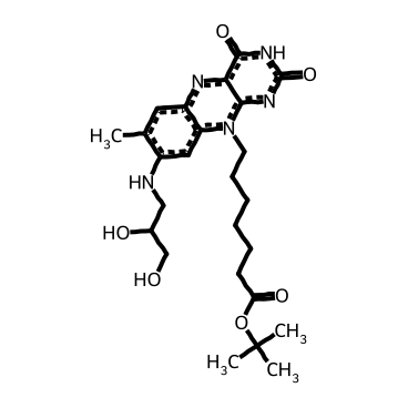 Cc1cc2nc3c(=O)[nH]c(=O)nc-3n(CCCCCCC(=O)OC(C)(C)C)c2cc1NCC(O)CO